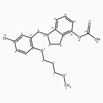 COCCCOc1ccc(Cl)cc1CN1CCc2c(OC(=O)O)cccc21